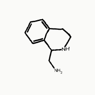 NCC1NCCc2ccccc21